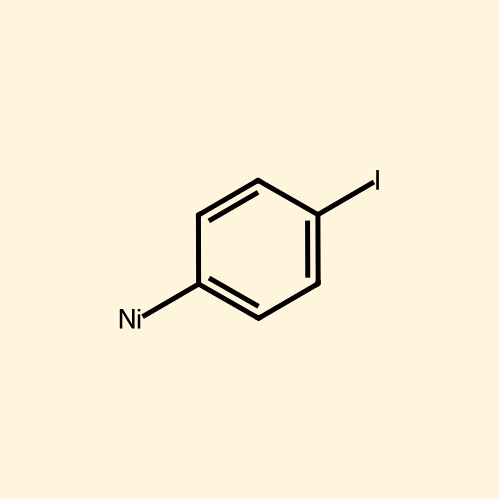 [Ni][c]1ccc(I)cc1